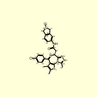 Cc1sc2c(c1C)C(c1ccc(Cl)cc1)=N[C@@H](CC(=O)Nc1ccc3c(c1)C[S+]([O-])C3)c1nnc(C)n1-2